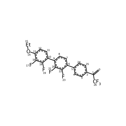 C=C(c1ccc(-c2ccc(-c3ccc(OCC)c(F)c3F)c(F)c2F)cc1)C(F)(F)F